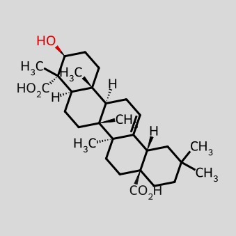 CC1(C)CC[C@]2(C(=O)O)CC[C@]3(C)C(=CC[C@@H]4[C@@]5(C)CC[C@H](O)[C@@](C)(C(=O)O)[C@@H]5CC[C@]43C)[C@@H]2C1